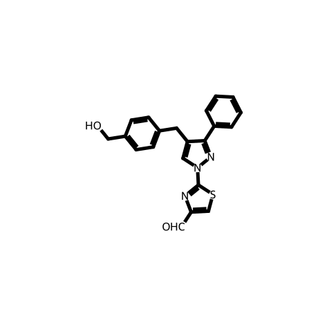 O=Cc1csc(-n2cc(Cc3ccc(CO)cc3)c(-c3ccccc3)n2)n1